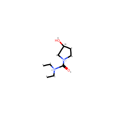 CCN(CC)C(=O)N1CCC(O)C1